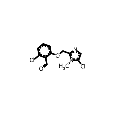 Cn1c(Cl)cnc1COc1cccc(Cl)c1C=O